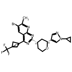 Cc1nc2nc([C@H]3CCO[C@@H](c4cnn(C5CC5)c4)C3)nc(C34CC(C(F)(F)F)(C3)C4)c2cc1Br